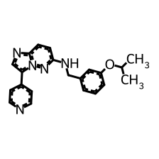 CC(C)Oc1cccc(CNc2ccc3ncc(-c4ccncc4)n3n2)c1